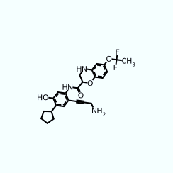 CC(F)(F)Oc1ccc2c(c1)NCC(C(=O)Nc1cc(O)c(C3CCCC3)cc1C#CCN)O2